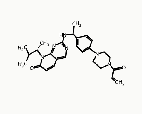 C=CC(=O)N1CCN(c2ccc([C@H](C)Nc3ncc4ccc(=O)n([C@@H](C)C(C)C)c4n3)cc2)CC1